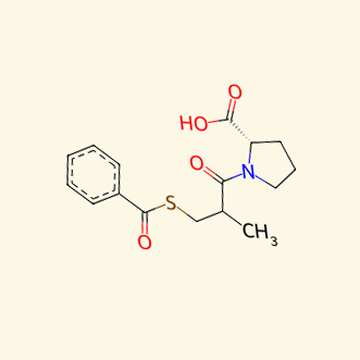 CC(CSC(=O)c1ccccc1)C(=O)N1CCC[C@H]1C(=O)O